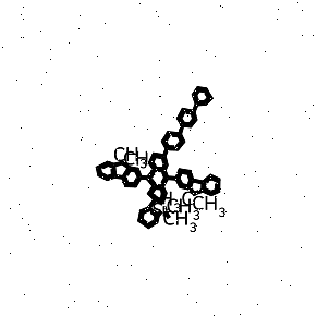 CC1(C)c2ccccc2-c2ccc(-c3c4ccc(-c5ccc(-c6ccc(-c7ccccc7)cc6)cc5)cc4c(-c4ccc5c(c4)C(C)(C)c4ccccc4-5)c4cc5c(cc34)-c3ccccc3[Si]5(C)C)cc21